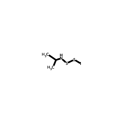 CC(C)NSSI